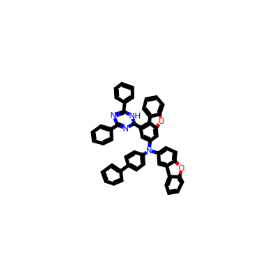 c1ccc(C2=NC(c3cc(N(c4ccc(-c5ccccc5)cc4)c4ccc5oc6ccccc6c5c4)cc4oc5ccccc5c34)NC(c3ccccc3)=N2)cc1